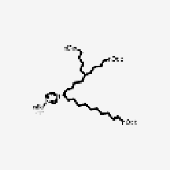 CCCCCCCCC=CCCCCCCCCC(CCCCC(CCCCCCCCCCCCCC)CCCCCCCCCCCCCC)[n+]1ccn(CCCC)c1.[Cl-]